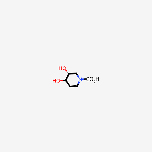 O=C(O)N1CC[C@@H](O)[C@H](O)C1